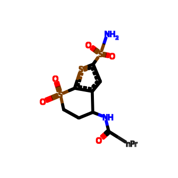 CCCC(=O)NC1CCS(=O)(=O)c2sc(S(N)(=O)=O)cc21